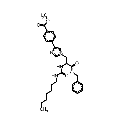 CCCCCCCNC(=O)NC(Cn1cnc(-c2ccc(C(=O)OC)cc2)c1)C(=O)OCc1ccccc1